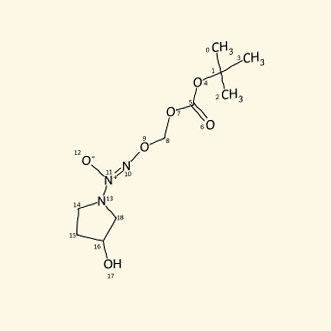 CC(C)(C)OC(=O)OCON=[N+]([O-])N1CCC(O)C1